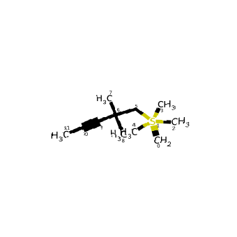 C=S(C)(C)(C)CC(C)(C)C#CC